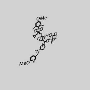 COc1cc(C)c(S(=O)(=O)N(Cc2nc(C(=O)N3CCC(N(C)Cc4ccc(OC)nc4)C3)co2)C2CC2)c(C)c1.O=C(O)C(F)(F)F